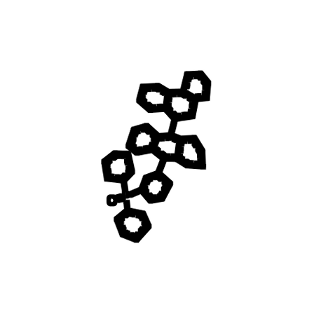 O=P(c1ccccc1)(c1ccccc1)c1cccc(-c2c3ccccc3c(-c3cc4ccccc4c4ccccc34)c3ccccc23)c1